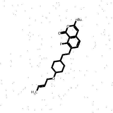 C/C=C/COC1CCC(CCc2ccc3cc(CCCC)oc(=O)c3c2F)CC1